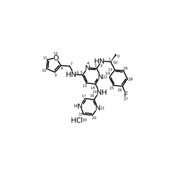 C[C@H](Nc1nc(NCc2ccco2)cc(Nc2cnccn2)n1)c1ccc(F)cc1.Cl